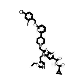 CCn1cncc1Cn1c(CN2CCC(c3cccc(OCc4ccc(Cl)cc4F)n3)CC2)nc2sc(C(=O)NC(=O)C3CC3)cc21